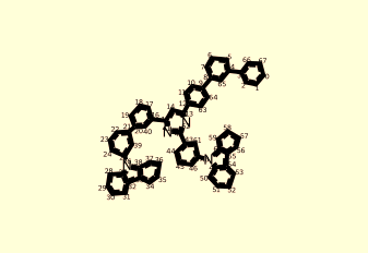 c1ccc(-c2cccc(-c3ccc(-c4cc(-c5cccc(-c6cccc(-n7c8ccccc8c8ccccc87)c6)c5)nc(-c5cccc(-n6c7ccccc7c7ccccc76)c5)n4)cc3)c2)cc1